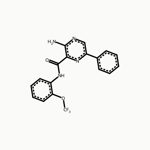 Nc1ncc(-c2ccccc2)nc1C(=O)Nc1ccccc1OC(F)(F)F